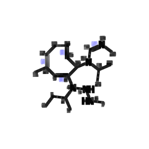 CCC(C)N(NNC)/C1=C/C(C)=C\C/C=C/C1N(/C=N\C)C(C)C